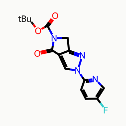 CC(C)(C)OC(=O)N1Cc2nn(-c3ccc(F)cn3)cc2C1=O